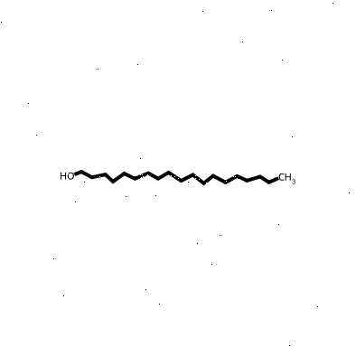 CCCCCCCCCCCCCCCCCCCO